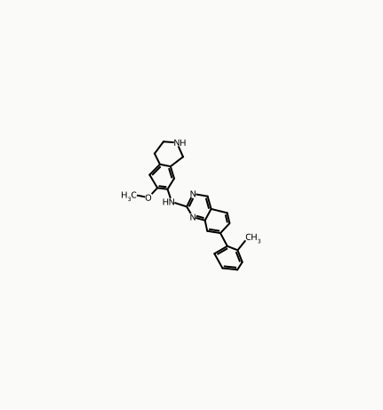 COc1cc2c(cc1Nc1ncc3ccc(-c4ccccc4C)cc3n1)CNCC2